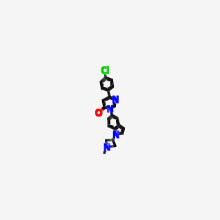 CN1CC(n2ccc3cc(-n4cnc(-c5ccc(Cl)cc5)cc4=O)ccc32)C1